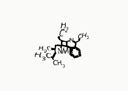 C=CC1=NC2C(C=C)C(CC(=C)C=C(C)C)(NC)C2c2ccccc21